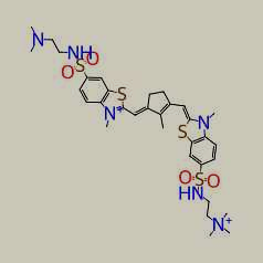 CC1=C(/C=C2\Sc3cc(S(=O)(=O)NCC[N+](C)(C)C)ccc3N2C)CC/C1=C\c1sc2cc(S(=O)(=O)NCCN(C)C)ccc2[n+]1C